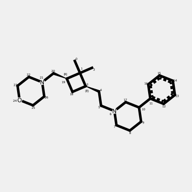 CC1(C)[C@@H](CCN2CCCC(c3ccccc3)C2)C[C@H]1CN1CCOCC1